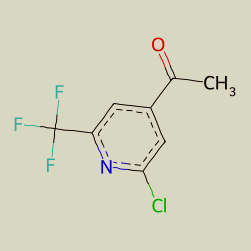 CC(=O)c1cc(Cl)nc(C(F)(F)F)c1